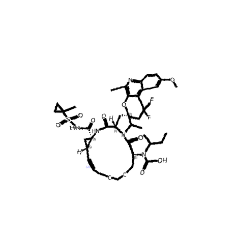 CCC(C)N(C(=O)O)[C@H]1CCCCC/C=C\[C@@H]2C[C@@]2(C(=O)NS(=O)(=O)C2(C)CC2)NC(=O)[C@@H]2C[C@]3(CC(F)(F)c4c(c(C)nc5ccc(OC)cc45)O3)C(C)N2C1=O